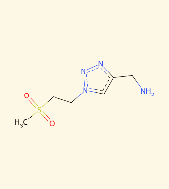 CS(=O)(=O)CCn1cc(CN)nn1